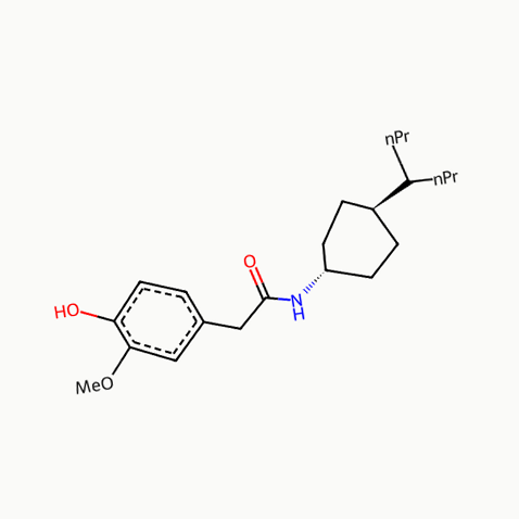 CCCC(CCC)[C@H]1CC[C@H](NC(=O)Cc2ccc(O)c(OC)c2)CC1